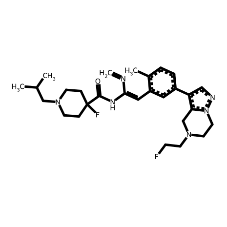 C=N/C(=C\c1cc(-c2cnn3c2CN(CCF)CC3)ccc1C)NC(=O)C1(F)CCN(CC(C)C)CC1